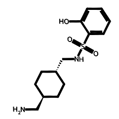 NC[C@H]1CC[C@H](CNS(=O)(=O)c2ccccc2O)CC1